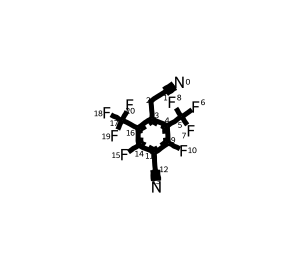 N#CCc1c(C(F)(F)F)c(F)c(C#N)c(F)c1C(F)(F)F